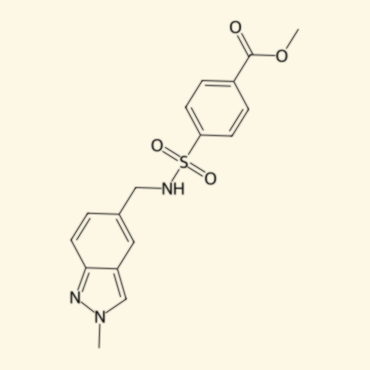 COC(=O)c1ccc(S(=O)(=O)NCc2ccc3nn(C)cc3c2)cc1